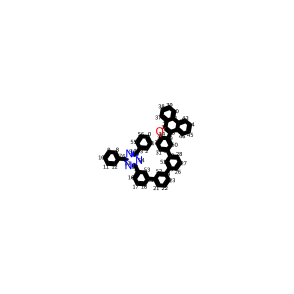 c1ccc(-c2nc(-c3ccccc3)nc(-c3cccc(-c4cccc(-c5cccc(-c6ccc7oc8c9ccccc9c9ccccc9c8c7c6)c5)c4)c3)n2)cc1